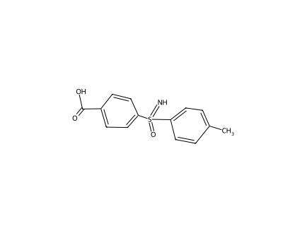 Cc1ccc(S(=N)(=O)c2ccc(C(=O)O)cc2)cc1